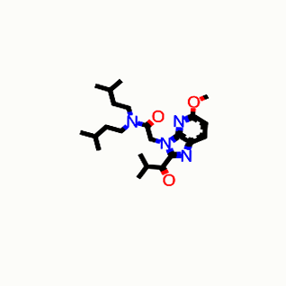 COc1ccc2nc(C(=O)C(C)C)n(CC(=O)N(CCC(C)C)CCC(C)C)c2n1